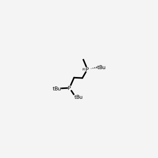 C[P@@](CCP(C(C)(C)C)C(C)(C)C)C(C)(C)C